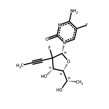 CC#CC1(F)[C@@H](O)[C@@H]([C@H](C)O)O[C@H]1n1cc(F)c(N)nc1=O